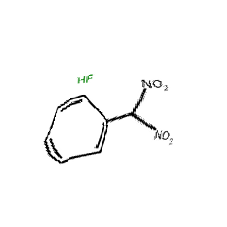 F.O=[N+]([O-])C(c1ccccc1)[N+](=O)[O-]